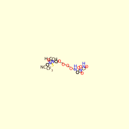 CC1(C)C(=O)N(c2ccc(C#N)c(C(F)(F)F)c2)C(=S)N1c1ccc(OCCOCCOCCOCCNc2cccc3c2C(=O)N([C@@H]2CCC(=O)NC2=O)C3=O)cc1